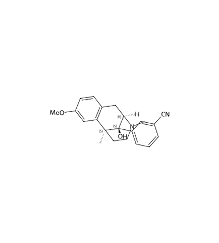 COc1ccc2c(c1)[C@]1(C)CCN(C)[C@H](C2)[C@]1(O)c1cccc(C#N)c1